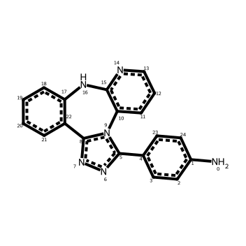 Nc1ccc(-c2nnc3n2-c2cccnc2Nc2ccccc2-3)cc1